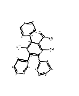 CCCC(=O)c1c(O)c(-c2ccccc2)c(-c2ccccc2)c(C)c1-c1ccccc1